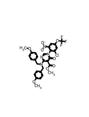 COC(=O)c1c(N(Cc2ccc(OC)cc2)Cc2ccc(OC)cc2)ncn(-c2c(Cl)cc(OC(F)(F)F)cc2[N+](=O)[O-])c1=O